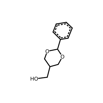 OCC1COC(c2ccccc2)OC1